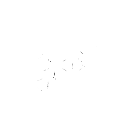 C[C@H]1CCCN1c1cc2ccccc2nc1-c1ccc2c(cnn2C(=O)OC(C)(C)C)c1